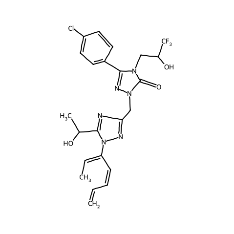 C=C/C=C\C(=C/C)n1nc(Cn2nc(-c3ccc(Cl)cc3)n(CC(O)C(F)(F)F)c2=O)nc1C(C)O